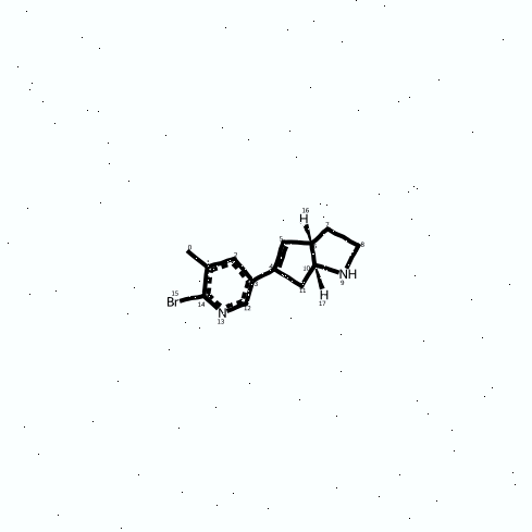 Cc1cc(C2=C[C@@H]3CCN[C@@H]3C2)cnc1Br